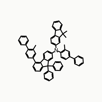 Cc1cc(-c2cccc3c2-c2ccc(N(c4ccc5c(c4)C(C)(C)c4ccccc4-5)c4ccc(-c5ccccc5)cc4C)cc2C3(c2ccccc2)c2ccccc2)ccc1-c1ccccc1